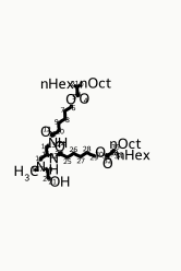 CCCCCCCCC(CCCCCC)C(=O)OCCCCCC(=O)NCC(CN(C)CCO)NC(=O)CCCCCOC(=O)[C@@H](CCCCCC)CCCCCCCC